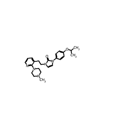 CC(C)Oc1ccc(-n2ccn(CCc3cccnc3N3CCN(C)CC3)c2=O)cc1